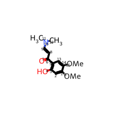 COc1cc(O)c(C(=O)C=CN(C)C)cc1OC